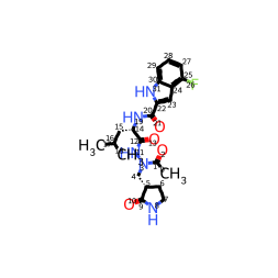 CC(=O)N(C[C@@H]1CCNC1=O)NC(=O)[C@H](CC(C)C)NC(=O)c1cc2c(F)cccc2[nH]1